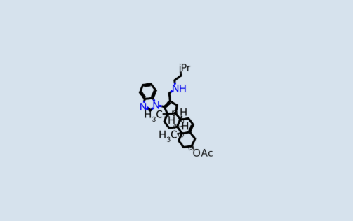 CC(=O)O[C@H]1CC[C@@]2(C)C(=CC[C@@H]3[C@@H]2CC[C@]2(C)C(n4cnc5ccccc54)=C(CNCCC(C)C)C[C@@H]32)C1